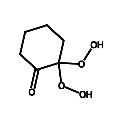 O=C1CCCCC1(OO)OO